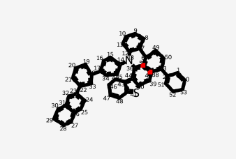 C1=CC(c2ccc(-c3ccccc3N(c3ccc(-c4cccc(-c5ccc6ccccc6c5)c4)cc3)c3cccc4sc5c(c34)CCC=C5)cc2)=CCC1